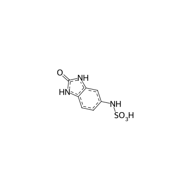 O=c1[nH]c2ccc(NS(=O)(=O)O)cc2[nH]1